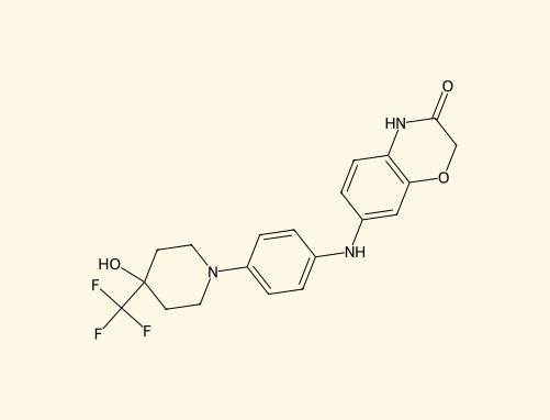 O=C1COc2cc(Nc3ccc(N4CCC(O)(C(F)(F)F)CC4)cc3)ccc2N1